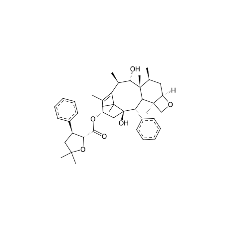 CC1=C2[C@@H](C)[C@H](O)[C@@]3(C)C([C@H](c4ccccc4)[C@](O)(C[C@@H]1OC(=O)[C@@H]1OC(C)(C)C[C@H]1c1ccccc1)C2(C)C)[C@]1(C)CO[C@@H]1C[C@@H]3C